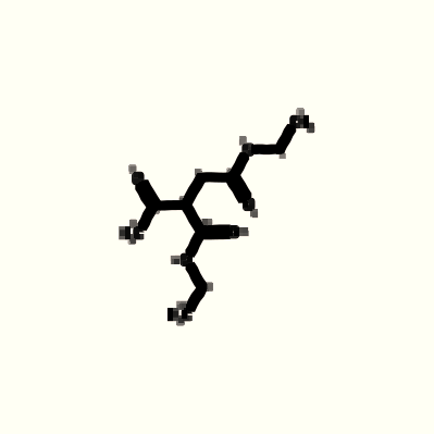 CCOC(=O)CC(C(C)=O)C(=O)OCC